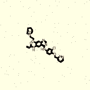 C=CC(=O)Nc1cc2c(Nc3ccc(OCc4cccnn4)c(Cl)c3)ncnc2cc1OCCN1CC2CCC(C1)O2